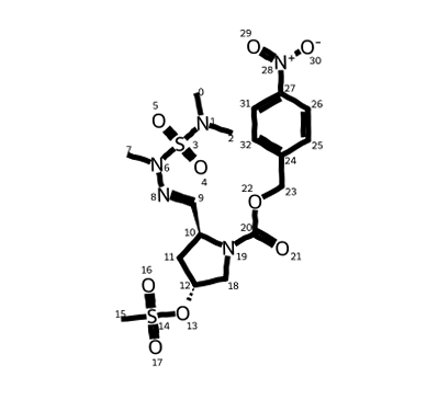 CN(C)S(=O)(=O)N(C)N=C[C@@H]1C[C@@H](OS(C)(=O)=O)CN1C(=O)OCc1ccc([N+](=O)[O-])cc1